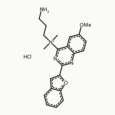 COc1ccc2nc(-c3cc4ccccc4o3)nc([N+](C)(C)CCCN)c2c1.Cl